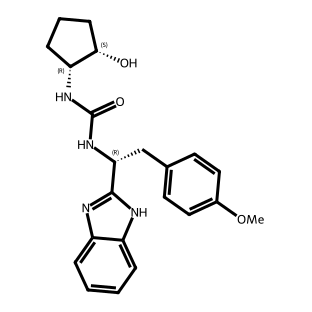 COc1ccc(C[C@@H](NC(=O)N[C@@H]2CCC[C@@H]2O)c2nc3ccccc3[nH]2)cc1